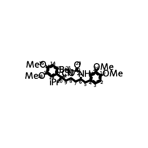 COc1ccc(CC(CCCC(C#N)(c2ccc(OC)c(OC)c2)C(C)C)NC(=O)OC(C)(C)C)cc1OC